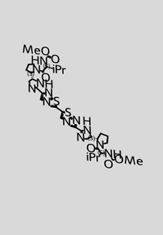 COC(=O)N[C@H](C(=O)N1CCCC1[C@@H]1CN=C(c2cn3cc(-c4cn5cc(C6=NCC([C@@H]7CCCN7C(=O)[C@@H](NC(=O)OC)C(C)C)N6)nc5s4)sc3n2)N1)C(C)C